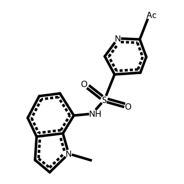 CC(=O)c1ccc(S(=O)(=O)Nc2cccc3ccn(C)c23)cn1